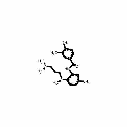 Cc1ccc(N(C)CCCN(C)C)c(NC(=O)c2ccc(C)c(C)c2)c1